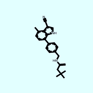 C=C(CC(C)(C)C)NCc1ccc(-c2ccc(C)c3c(C#N)c[nH]c23)cc1